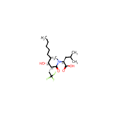 CCCCCC[C@@H](O)[C@@H](CC(F)(F)F)C(=O)N(C)[C@@H](CC(C)C)C(=O)O